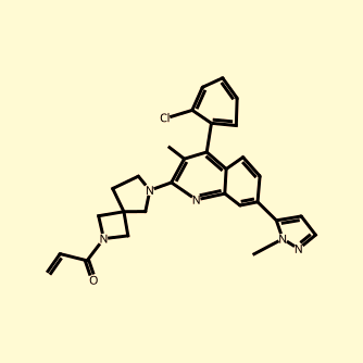 C=CC(=O)N1CC2(CCN(c3nc4cc(-c5ccnn5C)ccc4c(-c4ccccc4Cl)c3C)C2)C1